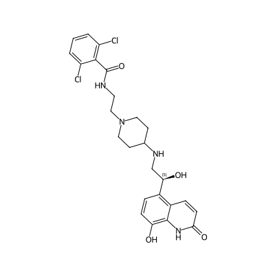 O=C(NCCN1CCC(NC[C@@H](O)c2ccc(O)c3[nH]c(=O)ccc23)CC1)c1c(Cl)cccc1Cl